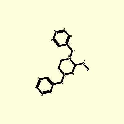 COC1CN(Cc2ccccc2)CCN1Cc1ccccc1